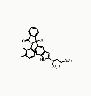 COCCN(C(=O)O)c1nc2cc(C3(O)c4ccccc4C(=O)N3c3cccc(Cl)c3F)ccc2[nH]1